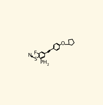 N#CSc1c(F)cc(C#Cc2ccc(OCC3CCCC3)cc2)cc1P